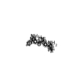 CN1CCN(c2nc(N)nc3cc(C(=O)N[C@@H](Cc4ccc(-c5nc(C(F)(F)F)ccc5N)cc4)C(=O)N(C)C)ccc23)CC1